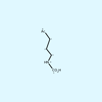 CC(=O)CCCNC(=O)O